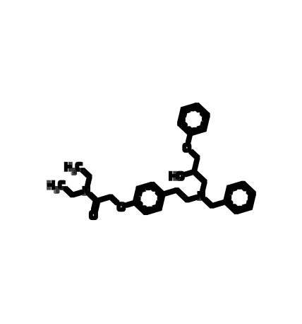 CCN(CC)C(=O)COc1ccc(CCN(Cc2ccccc2)CC(O)COc2ccccc2)cc1